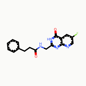 O=C(CCc1ccccc1)NCc1nc2ncc(F)cc2c(=O)[nH]1